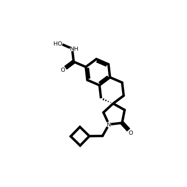 O=C(NO)c1ccc2c(c1)C[C@]1(CC2)CC(=O)N(CC2CCC2)C1